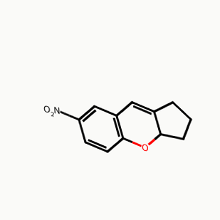 O=[N+]([O-])c1ccc2c(c1)C=C1CCCC1O2